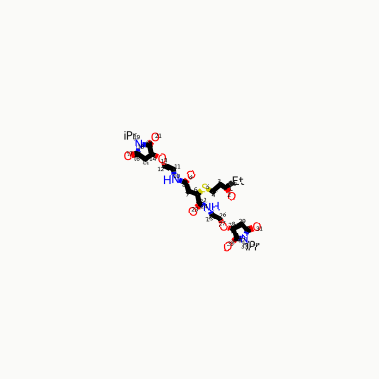 CCC(=O)CCSC(CC(=O)NCCOC1CC(=O)N(C(C)C)C1=O)C(=O)NCCOC1CC(=O)N(C(C)C)C1=O